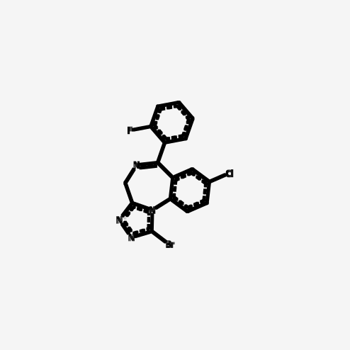 Fc1ccccc1C1=NCc2nnc(Br)n2-c2ccc(Cl)cc21